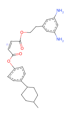 CC1CCC(c2ccc(OC(=O)/C=C\C(=O)OCCc3cc(N)cc(N)c3)cc2)CC1